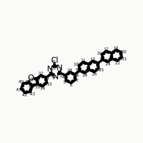 Clc1nc(-c2cccc(-c3ccc4cc(-c5ccc6ccccc6c5)ccc4c3)c2)nc(-c2ccc3c(c2)oc2ccccc23)n1